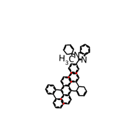 CC1(n2c(-c3ccc(-c4ccc5c(-c6ccccc6-c6ccccc6)c6ccccc6c(C6=CC=CCC6c6ccccc6)c5c4)cc3)nc3ccccc32)C=CC=CC1